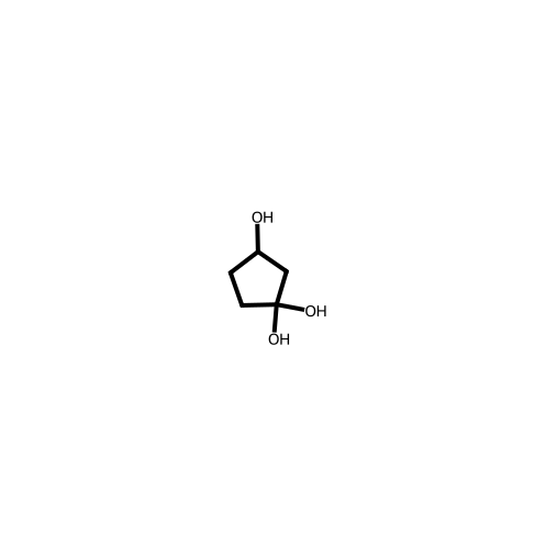 OC1CCC(O)(O)C1